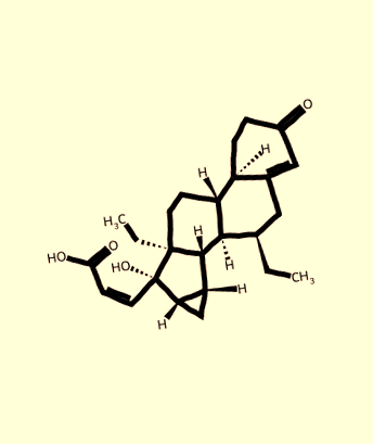 CC[C@@H]1CC2=CC(=O)CC[C@@H]2[C@H]2CC[C@@]3(CC)[C@@H]([C@@H]4C[C@@H]4[C@@]3(O)/C=C\C(=O)O)[C@H]12